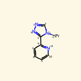 CC(C)n1cnnc1-c1ccc[c]n1